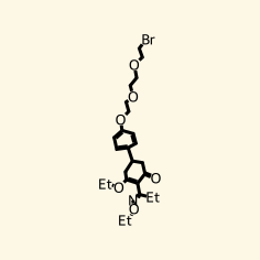 CCO/N=C(\CC)C1=C(OCC)CC(c2ccc(OCCOCCOCCBr)cc2)CC1=O